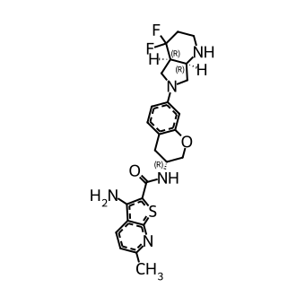 Cc1ccc2c(N)c(C(=O)N[C@H]3COc4cc(N5C[C@@H]6NCCC(F)(F)[C@@H]6C5)ccc4C3)sc2n1